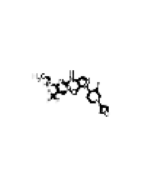 CCNc1nc(NC2C=NN(C3CCN(C4COC4)CC3F)C2Cl)ncc1C(F)(F)F